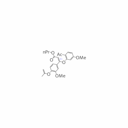 C=C(C)Oc1ccc(/C(=C\C(=O)OCCC)Oc2cc(OC)ccc2C(C)=O)cc1OC